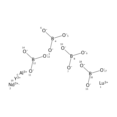 [Al+3].[Lu+3].[Nd+3].[O-]B([O-])[O-].[O-]B([O-])[O-].[O-]B([O-])[O-].[O-]B([O-])[O-].[Y+3]